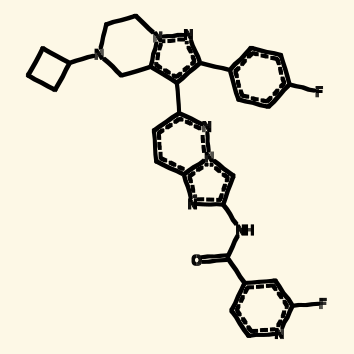 O=C(Nc1cn2nc(-c3c(-c4ccc(F)cc4)nn4c3CN(C3CCC3)CC4)ccc2n1)c1ccnc(F)c1